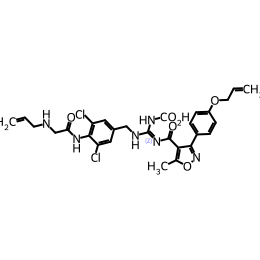 C=CCNCC(=O)Nc1c(Cl)cc(CN/C(=N/C(=O)c2c(-c3ccc(OCC=C)cc3)noc2C)NC(=O)O)cc1Cl